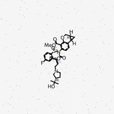 COC(=O)c1c(N(C(=O)OC)[S+]([O-])c2ccc(F)cc2/C=C\CN2CC[C@@H](C(C)(C)O)C2)ccc2c1OC[C@@H]1C[C@H]21